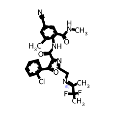 CNC(=O)c1cc(C#N)cc(C)c1NC(=O)c1nc(C/N=C(\C)C(C)(F)F)oc1-c1ccccc1Cl